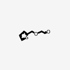 O=CCOCc1cccs1